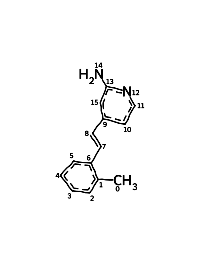 Cc1ccccc1C=Cc1ccnc(N)c1